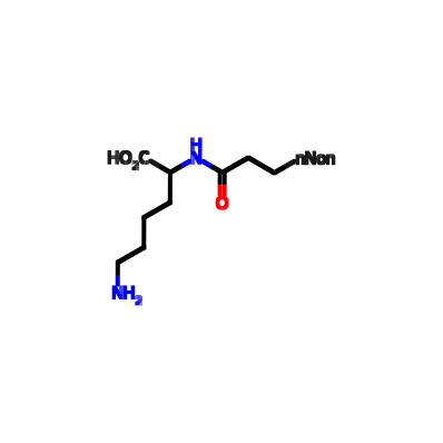 CCCCCCCCCCCC(=O)NC(CCCCN)C(=O)O